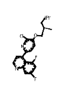 CC(C)C[C@@H](C)COc1ccc(-c2ccnc3cc(F)cc(F)c23)nc1Cl